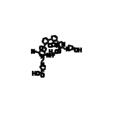 COc1nc(-c2cccc(-c3cccc(-c4cc5c(=N)n(CCN6CC[C@@H](C(=O)O)C6)cc(C#N)c5o4)c3Cl)c2C)cnc1CN1CC[C@@H](O)C1